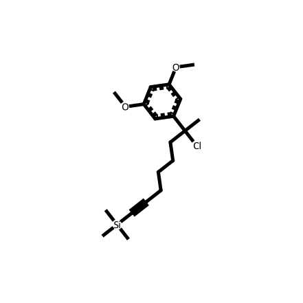 COc1cc(OC)cc(C(C)(Cl)CCCCC#C[Si](C)(C)C)c1